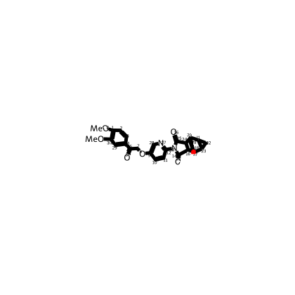 COc1ccc(C(=O)COc2ccc(N3C(=O)C4C5C=CC(C6CC56)C4C3=O)nc2)cc1OC